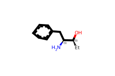 CC[C@H](O)[C@@H](N)Cc1ccccc1